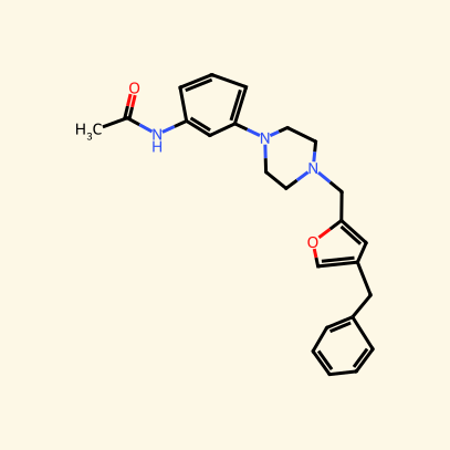 CC(=O)Nc1cccc(N2CCN(Cc3cc(Cc4ccccc4)co3)CC2)c1